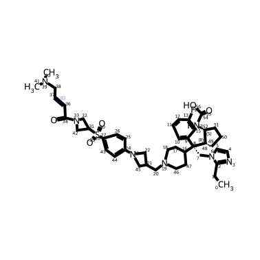 CCc1nccn1C[C@@](c1cccc(F)c1)(C1CCN(CC2CN(c3ccc(S(=O)(=O)C4CN(C(=O)/C=C/CN(C)C)C4)cc3)C2)CC1)[C@H]1CCC[C@@H]1NC(=O)O